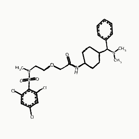 CN(C)C(c1ccccc1)C1CCC(NC(=O)COCCN(C)S(=O)(=O)c2c(Cl)cc(Cl)cc2Cl)CC1